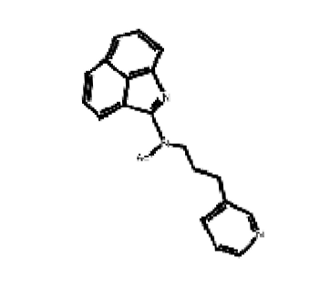 CC(=O)N(CCCc1cccnc1)C1=Nc2cccc3cccc1c23